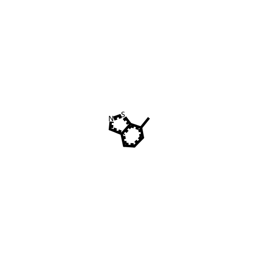 Cc1cccc2cnsc12